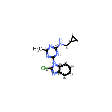 Cc1nc(NCC2CC2)nc(-n2c(Cl)nc3ccccc32)n1